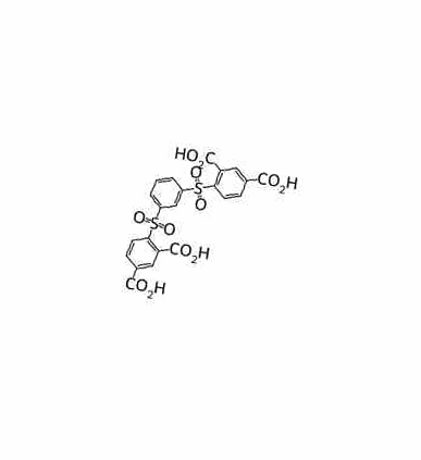 O=C(O)c1ccc(S(=O)(=O)c2cccc(S(=O)(=O)c3ccc(C(=O)O)cc3C(=O)O)c2)c(C(=O)O)c1